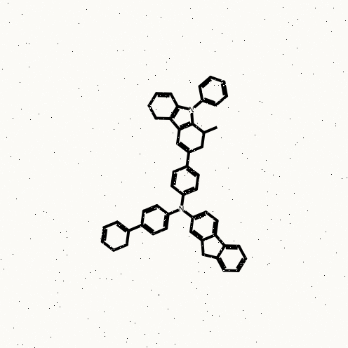 CC1CC(c2ccc(N(c3ccc(C4=CC=CCC4)cc3)c3ccc4c(c3)Cc3ccccc3-4)cc2)=Cc2c3c(n(-c4ccccc4)c21)C=CCC3